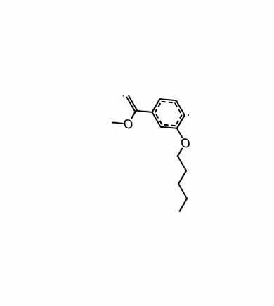 [CH]=C(OC)c1cc[c]c(OCCCCC)c1